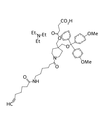 C#CCCCCC(=O)NCCCCCC(=O)N1CCC(COC(=O)CCC(=O)O)(COC(c2ccccc2)(c2ccc(OC)cc2)c2ccc(OC)cc2)CC1.CCN(CC)CC